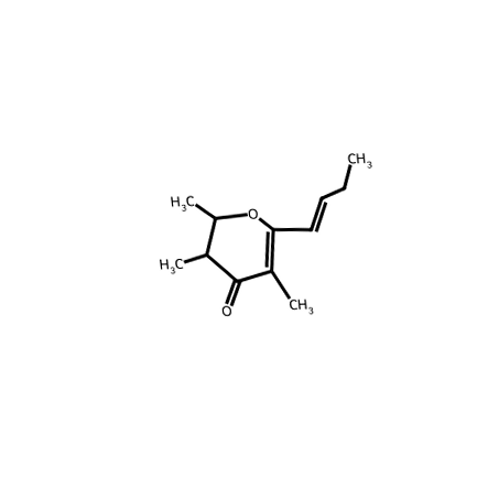 CCC=CC1=C(C)C(=O)C(C)C(C)O1